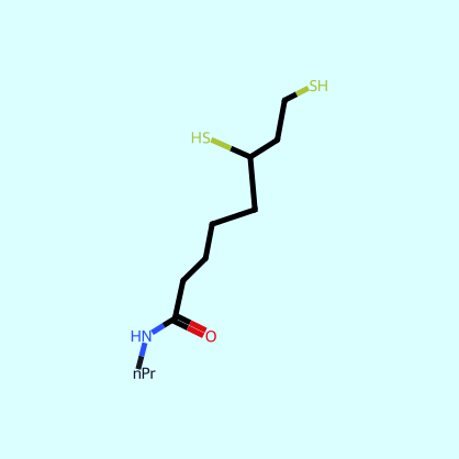 [CH2]CCNC(=O)CCCCC(S)CCS